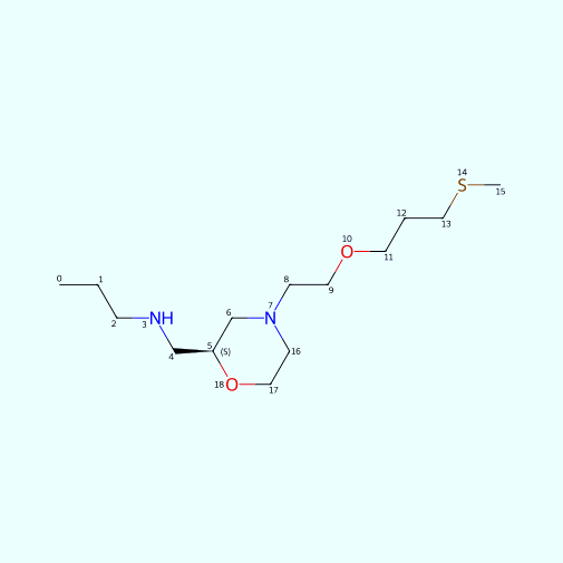 CCCNC[C@H]1CN(CCOCCCSC)CCO1